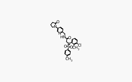 Cc1ccc(S(=O)(=O)N(CC(=O)NCc2ccc(N3CCCC3=O)cn2)c2cccc(Cl)c2C)cc1